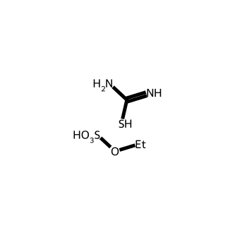 CCOS(=O)(=O)O.N=C(N)S